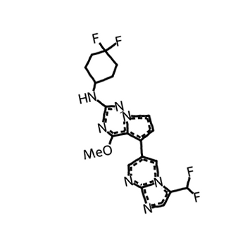 COc1nc(NC2CCC(F)(F)CC2)nn2ccc(-c3cnc4ncc(C(F)F)n4c3)c12